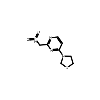 O=[SH](=O)Cc1nccc(N2CCOC2)n1